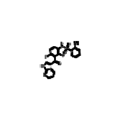 N#Cc1ccccc1S(=O)(=O)Nc1ccc(F)c(C(=O)c2c[nH]c3ncccc23)c1F